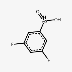 O=[AsH](O)c1cc(F)cc(F)c1